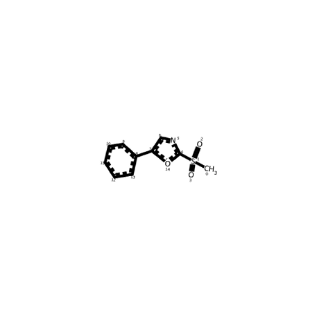 CS(=O)(=O)c1ncc(-c2ccccc2)o1